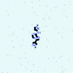 Cn1cc(-c2cnc3c(Nc4ccn(C)n4)nccn23)cn1